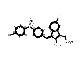 CC1=C(CC(=O)O)c2cc(F)ccc2/C1=C\c1ccc(N(C)c2ccc(F)cc2)cc1